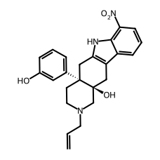 C=CCN1CC[C@@]2(c3cccc(O)c3)Cc3[nH]c4c([N+](=O)[O-])cccc4c3C[C@]2(O)C1